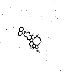 CCOC(=O)c1c(CCCOc2cccc3ccccc23)c2ccc(Cl)c3c2n1CC(F)(F)CCOCc1nn(C)c(C)c1-3